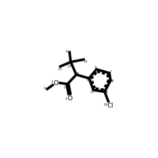 COC(=O)C(c1cccc(Cl)c1)C(C)(C)C